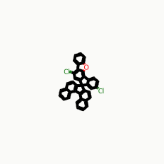 Clc1ccc2c(c1)C1(c3ccc4ccccc4c3-c3c1ccc1ccccc31)c1cc(Cl)c3c(oc4ccccc43)c1-2